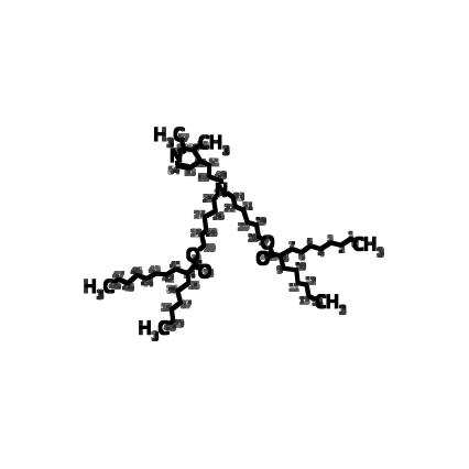 CCCCCCCCC(CCCCCC)C(=O)OCCCCCCN(CCCCCCOC(=O)C(CCCCCC)CCCCCCCC)CCCC1C=CN=C(C)C1C